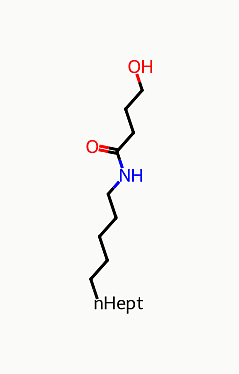 CCCCCCCCCCCCNC(=O)CCCO